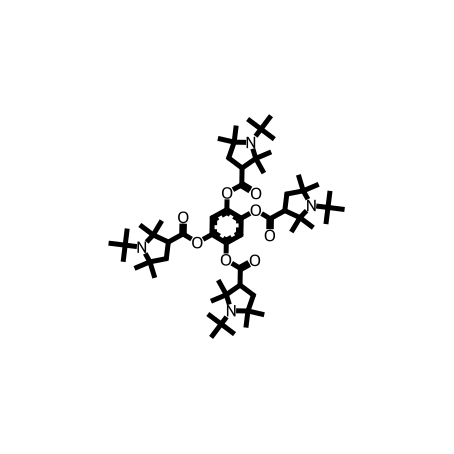 CC(C)(C)N1C(C)(C)CC(C(=O)Oc2cc(OC(=O)C3CC(C)(C)N(C(C)(C)C)C3(C)C)c(OC(=O)C3CC(C)(C)N(C(C)(C)C)C3(C)C)cc2OC(=O)C2CC(C)(C)N(C(C)(C)C)C2(C)C)C1(C)C